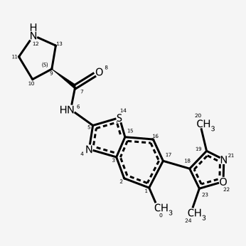 Cc1cc2nc(NC(=O)[C@H]3CCNC3)sc2cc1-c1c(C)noc1C